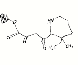 CC(C)(C)OC(=O)NCC(=O)C1NCCCC1(C)C